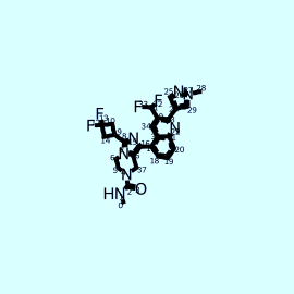 CNC(=O)N1CCn2c(C3CC(F)(F)C3)nc(-c3cccc4nc(-c5cnn(C)c5)c(C(F)F)cc34)c2C1